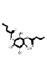 CCCC(=O)O[C@@H]1[C@@H](O)[C@@H](OC(=O)CCC)[C@@H](O)[C@H](O)[C@H]1O